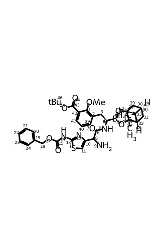 COc1c(C[C@H](NC(=O)C(N)c2csc(NC(=O)OCc3ccccc3)n2)B2OC3C[C@H]4C[C@@H](C4(C)C)[C@]3(C)O2)cccc1C(=O)OC(C)(C)C